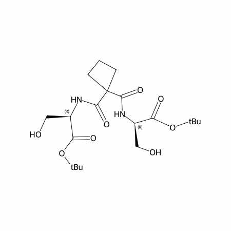 CC(C)(C)OC(=O)[C@@H](CO)NC(=O)C1(C(=O)N[C@H](CO)C(=O)OC(C)(C)C)CCC1